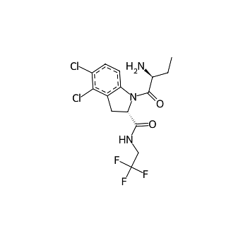 CC[C@H](N)C(=O)N1c2ccc(Cl)c(Cl)c2C[C@H]1C(=O)NCC(F)(F)F